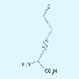 NC(C#CCCCl)C(=O)O